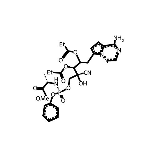 CCC(=O)O[C@@H](Cc1ccc2c(N)ncnn12)[C@H](OC(=O)CC)[C@@](O)(C#N)CO[P@](=O)(N[C@@H](C)C(=O)OC)Oc1ccccc1